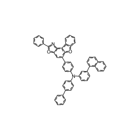 c1ccc(-c2ccc(N(c3ccc(-c4cc5oc(-c6ccccc6)nc5c5c4oc4ccccc45)cc3)c3cccc(-c4cccc5ccccc45)c3)cc2)cc1